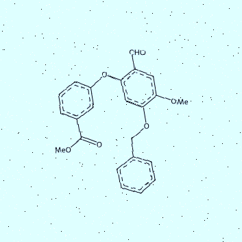 COC(=O)c1cccc(Oc2cc(OCc3ccccc3)c(OC)cc2C=O)c1